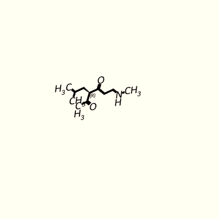 CNCCC(=O)[C@H](CC(C)C)C(C)=O